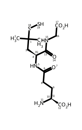 CC(C)(C[C@H](NC(=O)CC[C@H](N)C(=O)O)C(=O)NCC(=O)O)SS